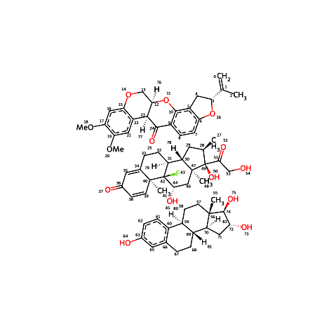 C=C(C)[C@H]1Cc2c(ccc3c2O[C@@H]2COc4cc(OC)c(OC)cc4[C@@H]2C3=O)O1.C[C@@H]1C[C@H]2[C@@H]3CCC4=CC(=O)C=C[C@]4(C)[C@@]3(F)[C@@H](O)C[C@]2(C)[C@@]1(O)C(=O)CO.C[C@]12CC[C@@H]3c4ccc(O)cc4CC[C@H]3[C@@H]1C[C@@H](O)[C@@H]2O